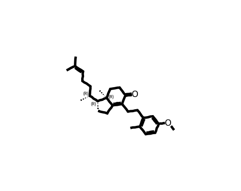 COc1ccc(C)c(CCC2=C3CC[C@H]([C@H](C)CCC=C(C)C)[C@@]3(C)CCC2=O)c1